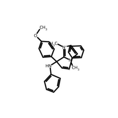 COc1ccc(C(/C=[C]\c2ccccc2)(Nc2ccccc2)c2n(C)cc[n+]2C)cc1